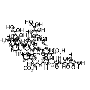 Nc1nc2ncc(CNc3ccc(C(=O)N[C@@H](CCC(=O)N[C@@H](CCC(=O)NC[C@H](O)[C@@H](O)[C@H](O)[C@H](O)CO)C(=O)N[C@H](CC(=O)O)C(=O)N[C@@H](CCC(=O)NC[C@H](O)[C@@H](O)[C@H](O)[C@H](O)CO)C(=O)N[C@H](CC(=O)O)C(=O)N[C@@H](CCC(=O)NC[C@H](O)[C@@H](O)[C@H](O)[C@H](O)CO)C(=O)N[C@H](CS)C(=O)O)C(=O)O)cc3)nc2c(=O)[nH]1